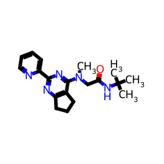 CN(CC(=O)NC(C)(C)C)c1nc(-c2ccccn2)nc2c1CCC2